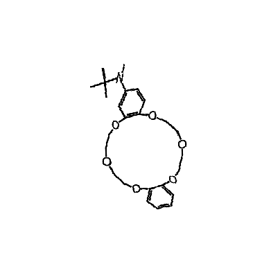 CN(c1ccc2c(c1)OCCOCCOc1ccccc1OCCOCCO2)C(C)(C)C